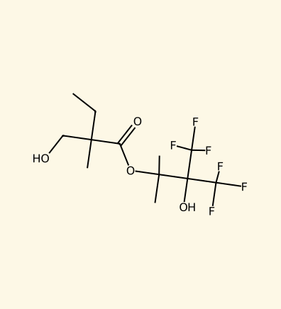 CCC(C)(CO)C(=O)OC(C)(C)C(O)(C(F)(F)F)C(F)(F)F